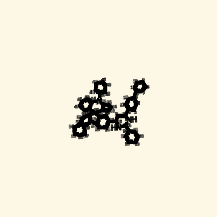 C1=C(c2ccc(-c3ccccc3)cc2)NC(c2ccccc2)NC1c1ccc2c(c1)C1(c3ccccc3N(c3ccccc3)c3ccccc31)c1ccc3ccccc3c1-2